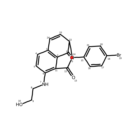 O=C1c2c3ccc(NCCO)c2C(=O)N(c2ccc(Br)cc2)C1C=C3